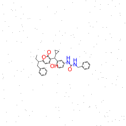 CCC(Cc1ccccc1)c1cc(O)c(C(c2cccc(NC(=O)NCc3ccccc3)c2)C2CC2)c(=O)o1